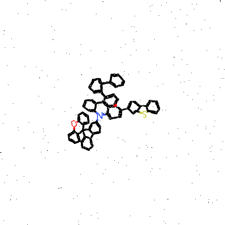 c1ccc(-c2ccccc2-c2ccccc2-c2ccccc2N(c2ccc(-c3ccc4c(c3)sc3ccccc34)cc2)c2ccc3c(c2)C2(c4ccccc4Oc4ccccc42)c2ccccc2-3)cc1